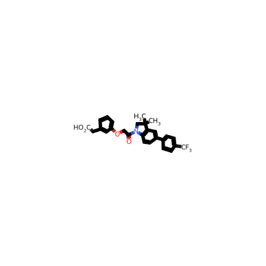 CC1(C)CN(C(=O)COc2cccc(CC(=O)O)c2)c2ccc(-c3ccc(C(F)(F)F)cc3)cc21